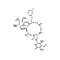 CCC1OC(=O)CC(O)C(C)C(OC2OC(C)C(O)C(N(C)C)C2O)C(CCN2CC(C)CC(C)C2)CC(C)C(=O)/C=C\C(C)=C/C1COC1OC(C)C(O)C(OC)C1OC